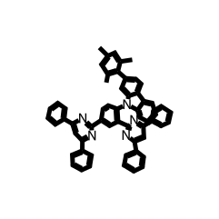 Cc1cc(C)c(-c2ccc3c4ccccc4n(-c4ccc(-c5nc(-c6ccccc6)cc(-c6ccccc6)n5)cc4-c4nc(-c5ccccc5)cc(-c5ccccc5)n4)c3c2)c(C)c1